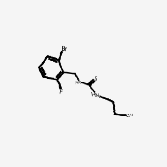 OCCNC(=S)NCc1c(F)cccc1Br